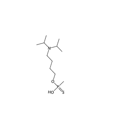 CC(C)N(CCCCOP(C)(O)=S)C(C)C